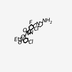 CCS(=O)(=O)c1ccc(Cl)cc1Cn1cnc2c(Cl)c(CN3CCC[C@H](N)C3)c(F)cc2c1=O